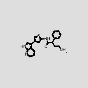 NCCC(C(=O)Nc1cc(-c2c[nH]c3ncccc23)cs1)c1ccccc1